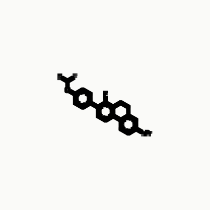 CCCc1ccc2c(c1)CCc1c-2ccc(-c2ccc(OC(F)F)cc2)c1F